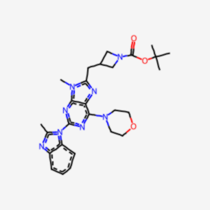 Cc1nc2ccccc2n1-c1nc(N2CCOCC2)c2nc(CC3CN(C(=O)OC(C)(C)C)C3)n(C)c2n1